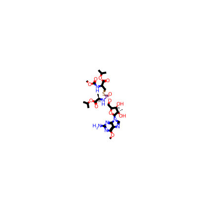 COC(=O)NC(CS[P@](=O)(N[C@H](C)C(=O)OC(C)C)OCC1OC(n2cnc3c(OC)nc(N)nc32)[C@](C)(O)[C@@H]1O)C(=O)OC(C)C